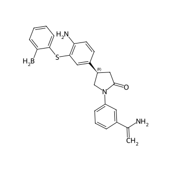 Bc1ccccc1Sc1cc([C@H]2CC(=O)N(c3cccc(C(=C)N)c3)C2)ccc1N